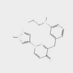 Cn1cc(-n2ccc(=O)c(Cc3cccc(N(CCO)C(=O)O)c3)n2)cn1